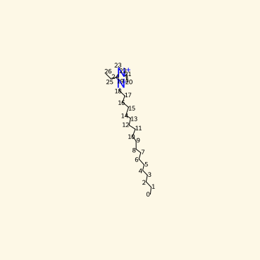 CCCCCCCCCCCCCCCCCCCn1cc[n+](C)c1CC